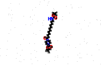 CC(C)(C)OC(=O)NCCCCCCCCCCCC(=O)N1CCN(C(=O)OC(C)(C)C)CC1